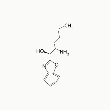 CCCCC(N)[C@H](O)c1nc2ccccc2o1